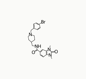 Cn1c(=O)n(C)c2cc(C(=O)NCC3CCN(Cc4ccc(Br)cc4)CC3)ccc21